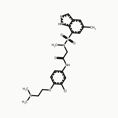 Cc1cc(S(=O)(=O)N(C)CC(=O)Nc2ccc(OCCN(C)C)c(Cl)c2)c2[nH]ncc2c1